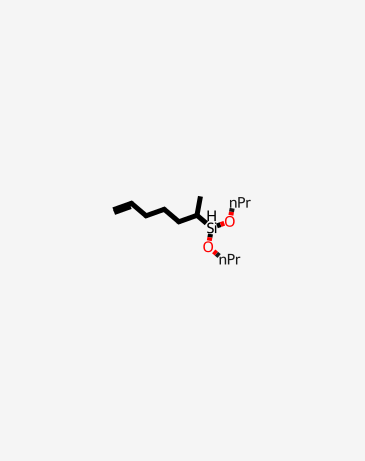 C=CCCCC(C)[SiH](OCCC)OCCC